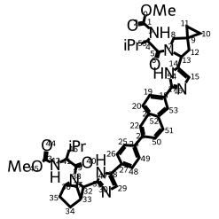 COC(=O)NC(C(=O)N1CC2(CC2)CC1c1cnc(-c2ccc3cc(-c4ccc(-c5cnc(C6C7CCC(C7)N6C(=O)C(NC(=O)OC)C(C)C)[nH]5)cc4)ccc3c2)[nH]1)C(C)C